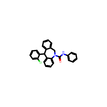 O=C(Nc1ccccc1)N1Cc2ccccc2C(c2ccccc2Cl)c2ccccc21